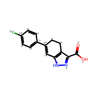 O=C(O)c1n[nH]c2c1CCC(c1ccc(F)cc1)=C2